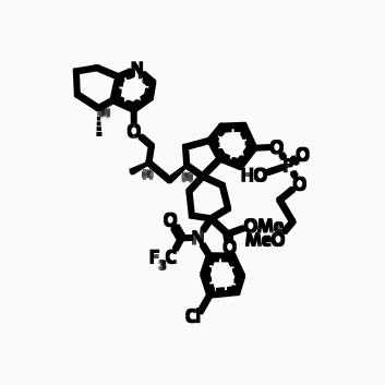 COCCOP(=O)(O)Oc1ccc2c(c1)C1(CCC(C(=O)OC)(N(C(=O)C(F)(F)F)c3cccc(Cl)c3)CC1)[C@@H](C[C@@H](C)COc1ccnc3c1[C@H](C)CCC3)C2